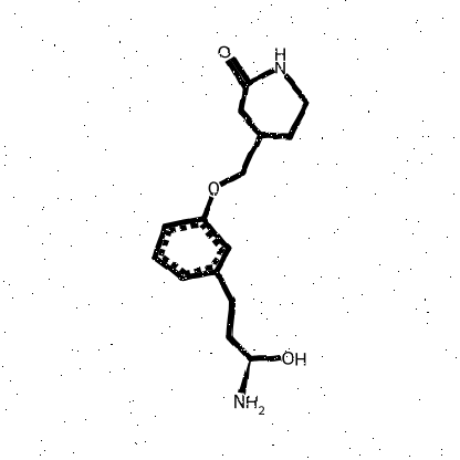 N[C@H](O)CCc1cccc(OCC2CCNC(=O)C2)c1